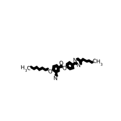 CCCCCCCCOc1ccc(C(=O)Oc2ccc(-c3ncc(CCCCC)cn3)cc2)cc1C#N